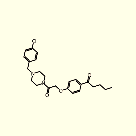 CCCCC(=O)c1ccc(OCC(=O)N2CCN(Cc3ccc(Cl)cc3)CC2)cc1